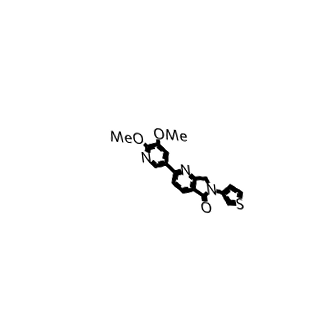 COc1cc(-c2ccc3c(n2)CN(c2ccsc2)C3=O)cnc1OC